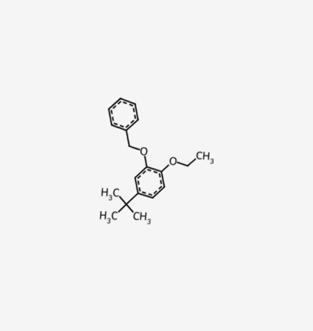 CCOc1ccc(C(C)(C)C)cc1OCc1ccccc1